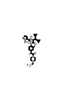 CC(C)n1nccc1C(=O)N[C@H](C(=O)Nc1ccc([C@H](C)C(=O)N2CCN(CC(F)(F)F)CC2)cc1F)C(=C1CC1)C1CC1